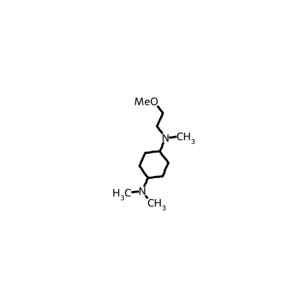 COCCN(C)C1CCC(N(C)C)CC1